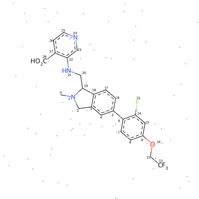 CN1Cc2cc(-c3ccc(OCC(F)(F)F)cc3F)ccc2C1CNc1cnccc1C(=O)O